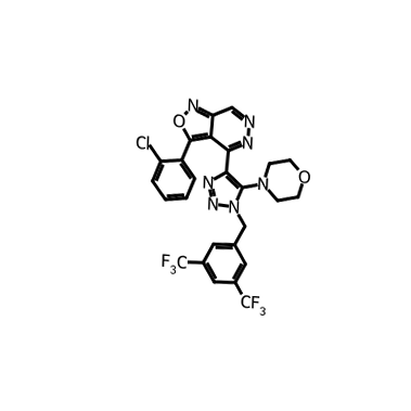 FC(F)(F)c1cc(Cn2nnc(-c3nncc4noc(-c5ccccc5Cl)c34)c2N2CCOCC2)cc(C(F)(F)F)c1